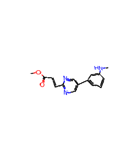 CNc1cccc(-c2cnc(C=CC(=O)OC)nc2)c1